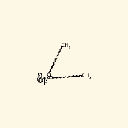 CCCCCC=CCC=CCCCCCCCCOCC(COCCCCCCCCC=CCC=CCCCCC)NCc1cccnc1N1CCCC1